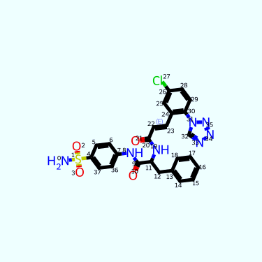 NS(=O)(=O)c1ccc(NC(=O)C(Cc2ccccc2)NC(=O)/C=C/c2cc(Cl)ccc2-n2cnnn2)cc1